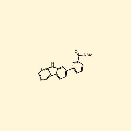 CNC(=O)c1cccc(-c2ccc3c(c2)[nH]c2ncncc23)c1